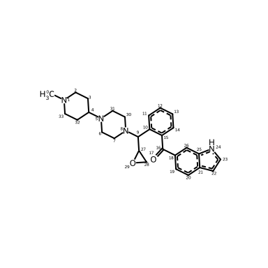 CN1CCC(N2CCN(C(c3ccccc3C(=O)c3ccc4cc[nH]c4c3)C3CO3)CC2)CC1